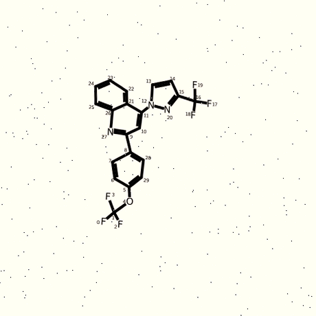 FC(F)(F)Oc1ccc(-c2cc(-n3ccc(C(F)(F)F)n3)c3ccccc3n2)cc1